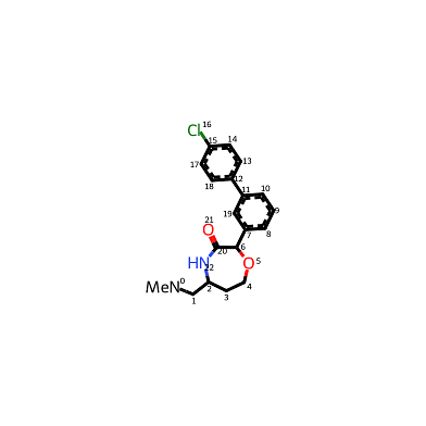 CNCC1CCOC(c2cccc(-c3ccc(Cl)cc3)c2)C(=O)N1